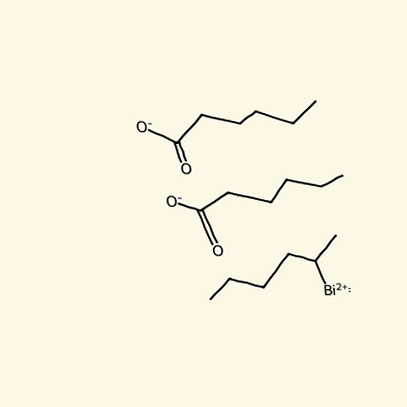 CCCCCC(=O)[O-].CCCCCC(=O)[O-].CCCC[CH](C)[Bi+2]